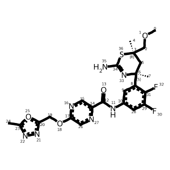 COC[C@@]1(C)C[C@@](C)(c2cc(NC(=O)c3cnc(OCc4nnc(C)o4)cn3)cc(F)c2F)N=C(N)S1